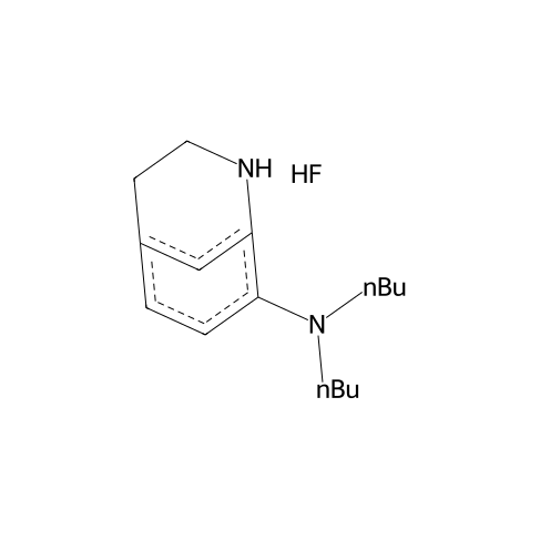 CCCCN(CCCC)c1ccc2cc1NCC2.F